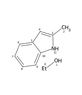 CCO.Cc1cc2ccccc2[nH]1